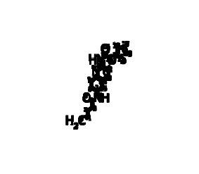 C=CCCC(=O)NC1CCc2nc(NC(=O)Oc3cccs3)ncc2C1